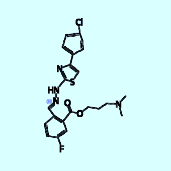 CN(C)CCCOC(=O)c1cc(F)ccc1/C=N/Nc1nc(-c2ccc(Cl)cc2)cs1